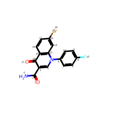 NC(=O)c1cn(-c2ccc(F)cc2)c2cc(Br)ccc2c1=O